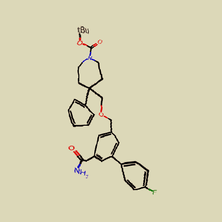 CC(C)(C)OC(=O)N1CCC(COCc2cc(C(N)=O)cc(-c3ccc(F)cc3)c2)(c2ccccc2)CC1